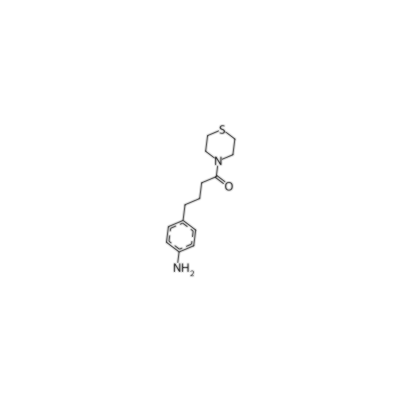 Nc1ccc(CCCC(=O)N2CCSCC2)cc1